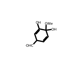 COC1(O)C=CC([C]=O)C=C1O